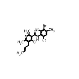 CC=CCc1c(C)nc(C)c(C(=O)Nc2c(CC)cc(C)c(Br)c2CC)c1Cl